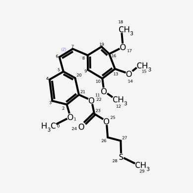 COc1ccc(/C=C\c2cc(OC)c(OC)c(OC)c2)cc1OC(=O)OCCSC